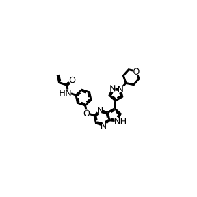 C=CC(=O)Nc1cccc(Oc2cnc3[nH]cc(-c4cnn(C5CCOCC5)c4)c3n2)c1